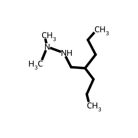 CCCC(CCC)CNN(C)C